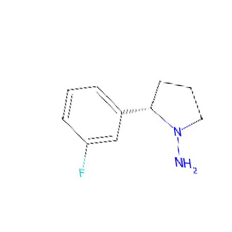 NN1CCC[C@H]1c1cccc(F)c1